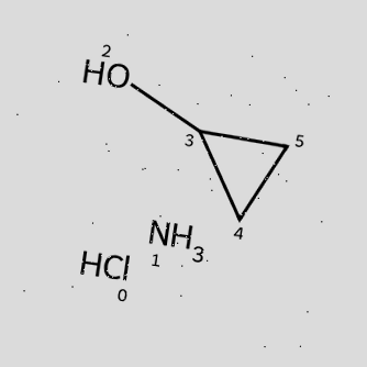 Cl.N.OC1CC1